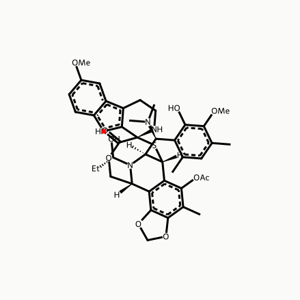 CC[C@H](O)N1[C@@H]([C@H](c2c(C)cc(C)c(OC)c2O)N(C)C)[C@@H]2S[C@]3(NCCc4c3[nH]c3ccc(OC)cc43)C(=O)OC[C@H]1c1c3c(c(C)c(OC(C)=O)c12)OCO3